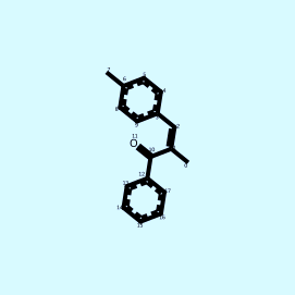 CC(=Cc1ccc(C)cc1)C(=O)c1ccccc1